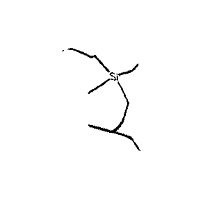 [CH2]C[Si](C)(C)CC(C)C